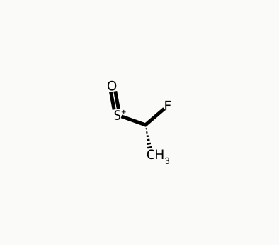 C[C@@H](F)[S+]=O